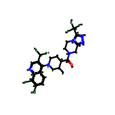 CC1CN(c2c(C(F)F)cnc3c(F)c(Cl)ccc23)CCC1C(=O)N1CCn2c(nnc2C(F)(F)F)C1